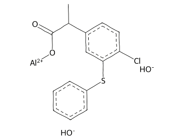 CC(C(=O)[O][Al+2])c1ccc(Cl)c(Sc2ccccc2)c1.[OH-].[OH-]